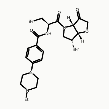 CCC[C@@H]1CN(C(=O)[C@H](CC(C)C)NC(=O)c2ccc(N3CCN(CC)CC3)cc2)[C@@H]2C(=O)CO[C@H]12